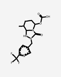 CC1CCC(OC(=O)O)N2C(=O)N(Cc3ccc(C(F)(F)F)nc3)NC12